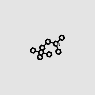 c1ccc(-c2cc(-c3cccc(-c4ccc5c(-c6ccccc6)c6ccccc6c(-c6ccccc6)c5c4)c3)cc(-c3ccccc3)n2)cc1